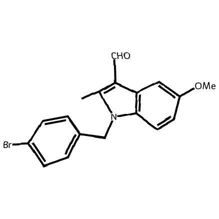 COc1ccc2c(c1)c(C=O)c(C)n2Cc1ccc(Br)cc1